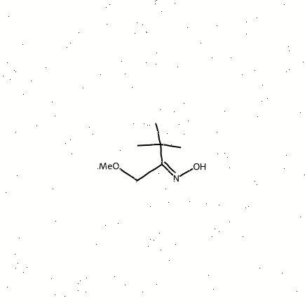 COC/C(=N/O)C(C)(C)C